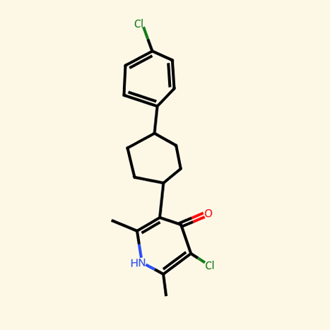 Cc1[nH]c(C)c(C2CCC(c3ccc(Cl)cc3)CC2)c(=O)c1Cl